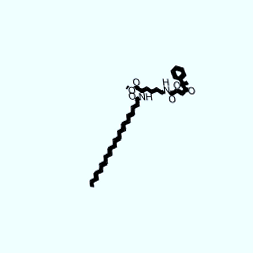 CCC=CCC=CCC=CCC=CCC=CCC=CCCC(=O)NC(CCCCNC(=O)C1=CC(=O)C(C)(c2ccccc2)O1)C(=O)OC